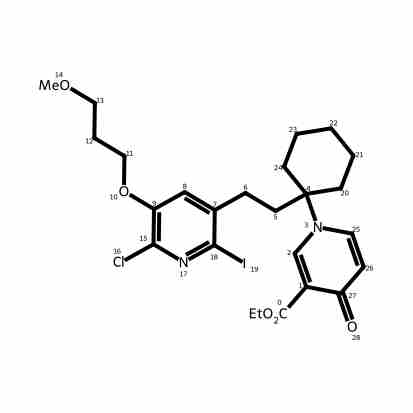 CCOC(=O)c1cn(C2(CCc3cc(OCCCOC)c(Cl)nc3I)CCCCC2)ccc1=O